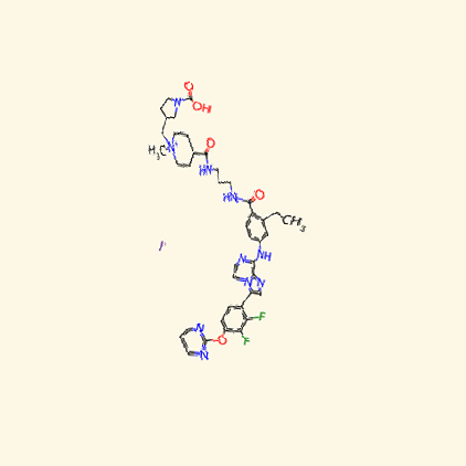 CCc1cc(Nc2nccn3c(-c4ccc(Oc5ncccn5)c(F)c4F)cnc23)ccc1C(=O)NCCCNC(=O)C1CC[N+](C)(CC2CCN(C(=O)O)C2)CC1.[I-]